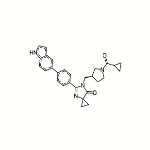 O=C(C1CC1)N1CC[C@@H](CN2C(=O)C3(CC3)N=C2c2ccc(-c3ccc4[nH]ccc4c3)cc2)C1